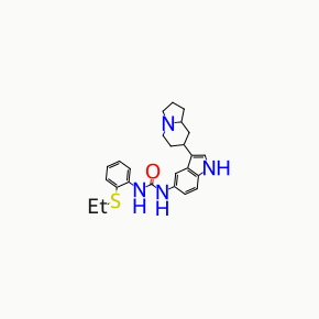 CCSc1ccccc1NC(=O)Nc1ccc2[nH]cc(C3CCN4CCCC4C3)c2c1